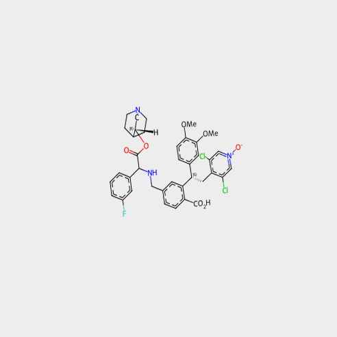 COc1ccc([C@H](Cc2c(Cl)c[n+]([O-])cc2Cl)c2cc(CNC(C(=O)O[C@H]3CN4CCC3CC4)c3cccc(F)c3)ccc2C(=O)O)cc1OC